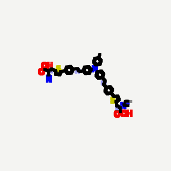 [C-]#[N+]/C(=C\c1ccc(-c2ccc(/C=C/c3ccc(N(c4ccc(C)cc4)c4ccc(/C=C/c5ccc(-c6ccc(/C=C(\C#N)C(=O)O)s6)cc5)cc4)cc3)cc2)s1)C(=O)O